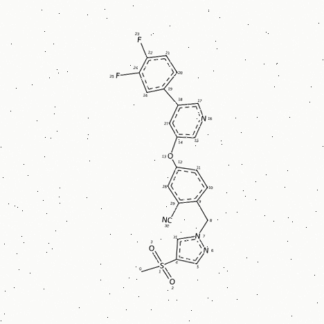 CS(=O)(=O)c1cnn(Cc2ccc(Oc3cncc(-c4ccc(F)c(F)c4)c3)cc2C#N)c1